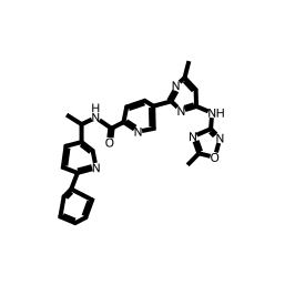 Cc1cc(Nc2noc(C)n2)nc(-c2ccc(C(=O)NC(C)c3ccc(-c4ccccc4)nc3)nc2)n1